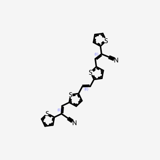 N#C/C(=C\c1ccc(/C=C/c2ccc(/C=C(\C#N)c3cccs3)s2)s1)c1cccs1